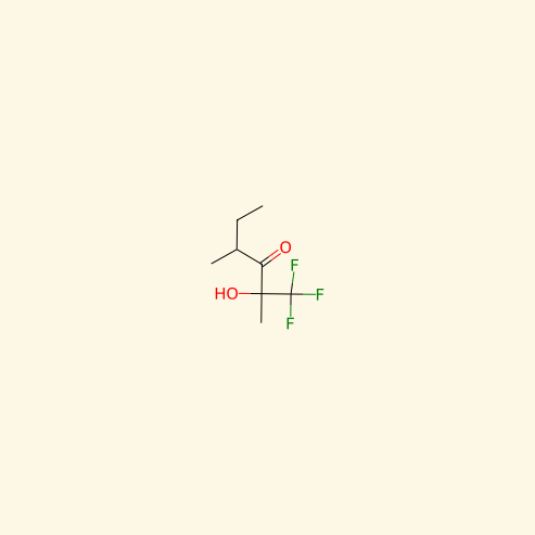 CCC(C)C(=O)C(C)(O)C(F)(F)F